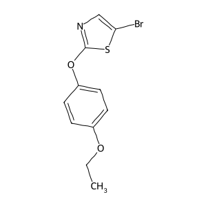 CCOc1ccc(Oc2ncc(Br)s2)cc1